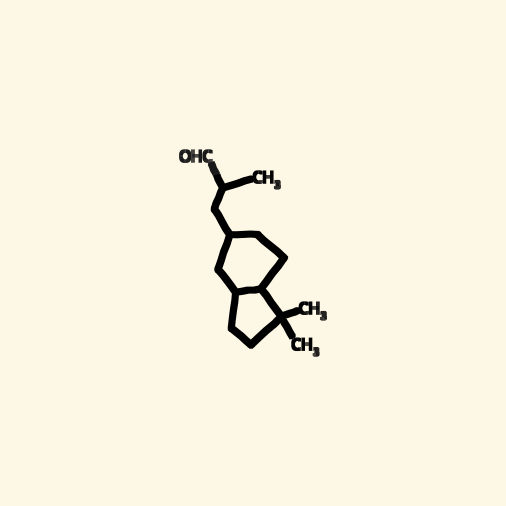 CC(C=O)CC1CCC2C(CCC2(C)C)C1